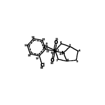 CCN1CC2CCC(C1)N2S(=O)(=O)c1ccccc1Cl